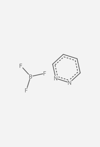 FB(F)F.c1ccnnc1